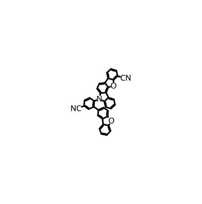 N#Cc1ccc(-n2c3ccccc3c3c4oc5c(C#N)cccc5c4ccc32)c(-c2ccc3oc4ccccc4c3c2)c1